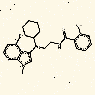 Cn1cc(C(CCNC(=O)c2ccccc2O)C2CCCCC2)c2c(Br)cccc21